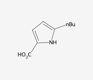 CCCCc1ccc(C(=O)O)[nH]1